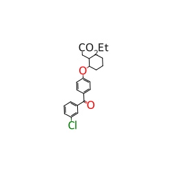 CCOC(=O)CC1CCCCC1Oc1ccc(C(=O)c2cccc(Cl)c2)cc1